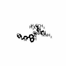 CC(C)(C)c1cc(NC(=O)Nc2ccc(-c3ccc(CN4CCOCC4)nc3)c3ccccc23)n(-c2cnc(N)nc2)n1